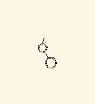 [O-][n+]1ccn(-c2ccccc2)c1